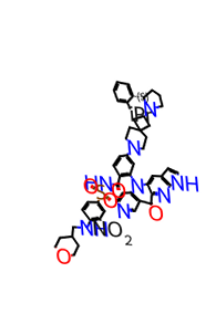 CC(C)c1ccccc1[C@@H]1CCCN1C1CC2(CCN(c3ccc(C(=O)NS(=O)(=O)c4ccc(NCC5CCOCC5)c([N+](=O)[O-])c4)c(-n4c5ccncc5c(=O)c5nc6[nH]ccc6cc54)c3)CC2)C1